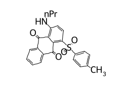 CCCNc1ccc(S(=O)(=O)c2ccc(C)cc2)c2c1C(=O)c1ccccc1C2=O